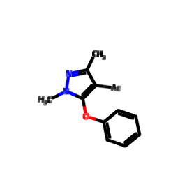 CC(=O)c1c(C)nn(C)c1Oc1ccccc1